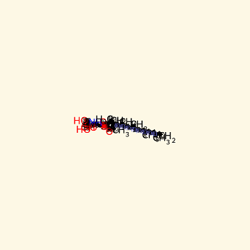 C=C/C(C)=C/C=C/C(C)=C/C=C/C=C(C)/C=C/C=C(C)/C=C/C1=C(C)C(=O)C(OC(=O)CCC(=O)NC(CO)(CO)CO)CC1(C)C